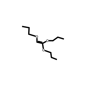 CCCOC=C(OCCC)OCCC